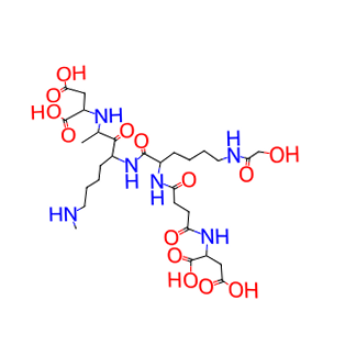 CNCCCCC(NC(=O)C(CCCCNC(=O)CO)NC(=O)CCC(=O)NC(CC(=O)O)C(=O)O)C(=O)C(C)NC(CC(=O)O)C(=O)O